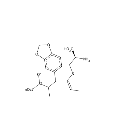 C/C=C\SC[C@H](N)C(=O)O.CCCCCCCC[S+]([O-])C(C)Cc1ccc2c(c1)OCO2